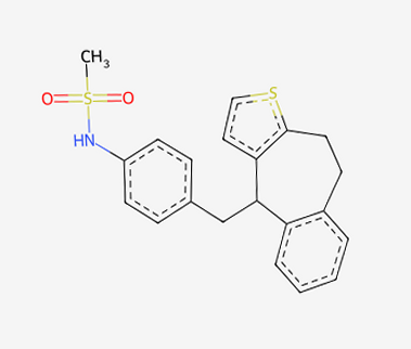 CS(=O)(=O)Nc1ccc(CC2c3ccccc3CCc3sccc32)cc1